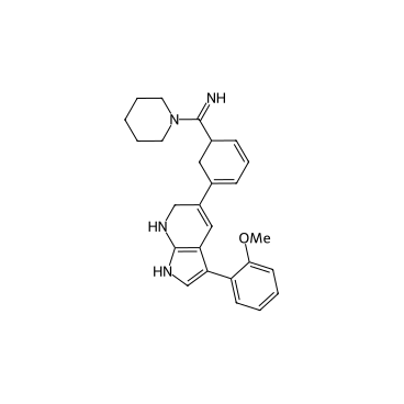 COc1ccccc1-c1c[nH]c2c1C=C(C1=CC=CC(C(=N)N3CCCCC3)C1)CN2